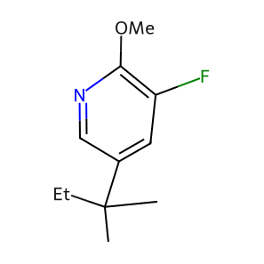 CCC(C)(C)c1cnc(OC)c(F)c1